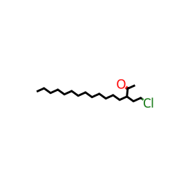 CCCCCCCCCCCCCC(CCCl)C(C)=O